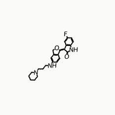 O=C1Nc2ccc(F)cc2C1=C1OCc2cc(NCCCN3CCCCC3)ccc21